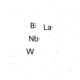 [B].[La].[Nb].[W]